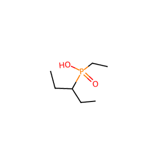 CCC(CC)P(=O)(O)CC